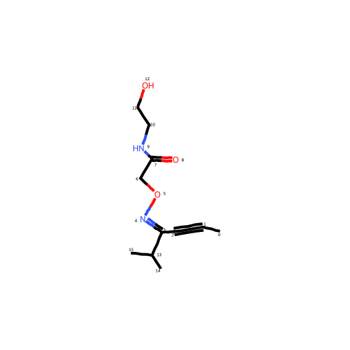 CC#C/C(=N\OCC(=O)NCCO)C(C)C